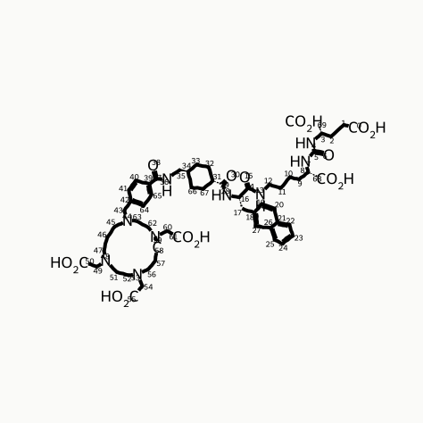 O=C(O)CC[C@H](NC(=O)N[C@@H](CCCCNC(=O)[C@H](Cc1ccc2ccccc2c1)NC(=O)[C@H]1CC[C@H](CNC(=O)c2ccc(CN3CCCN(CC(=O)O)CCN(CC(=O)O)CCCN(CC(=O)O)CC3)cc2)CC1)C(=O)O)C(=O)O